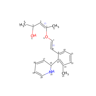 C/C(=C/C(C)O)O/C=C/c1cccc(C)c1C1C=CC=CN1